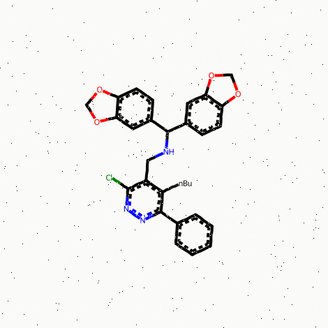 CCCCc1c(-c2ccccc2)nnc(Cl)c1CNC(c1ccc2c(c1)OCO2)c1ccc2c(c1)OCO2